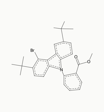 COC(=O)c1ccccc1-n1c2ccc(C(C)(C)C)cc2c2c(Br)c(C(C)(C)C)ccc21